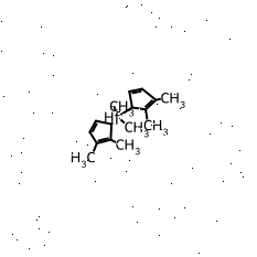 CC1=C(C)[CH]([Hf]([CH3])([CH3])[CH]2C=CC(C)=C2C)C=C1